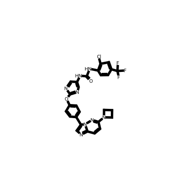 O=C(Nc1cnc(Oc2ccc(-c3cnc4ccc(N5CCC5)nn34)cc2)nc1)Nc1ccc(C(F)(F)F)cc1Cl